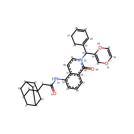 O=C(CC12CC3CC(CC(C3)C1)C2)Nc1cccc2c(=O)n(C(C3=CC=CCC3)C3=COC=CO3)ccc12